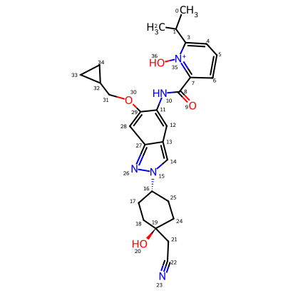 CC(C)c1cccc(C(=O)Nc2cc3cn([C@H]4CC[C@@](O)(CC#N)CC4)nc3cc2OCC2CC2)[n+]1O